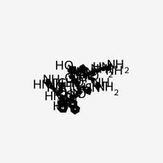 CCNC(=O)[C@H](CCCNC(=N)N)NC(=O)[C@@H]1C[C@@H]2CCCC[C@@H]2N1C(=O)[C@@H]1Cc2ccccc2CN1C(=O)CNC(=O)[C@H](Cc1cccs1)NC(=O)CNC(=O)[C@@H]1C[C@@H](O)CN1C(=O)[C@@H]1CCCN1C(=O)[C@H](CCCNC(=N)N)NC(=O)[C@H](N)CCCNC(=N)N